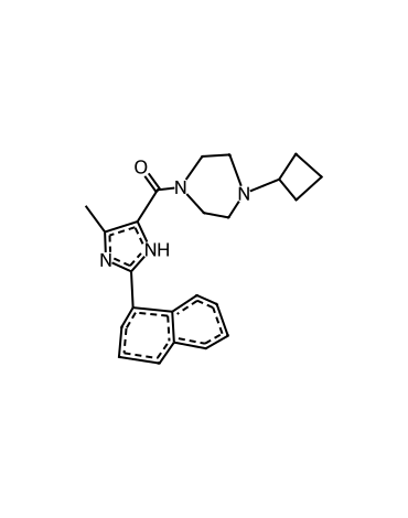 Cc1nc(-c2cccc3ccccc23)[nH]c1C(=O)N1CCN(C2CCC2)CC1